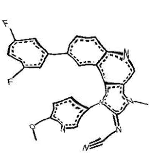 COc1ccc(-n2c(=NC#N)n(C)c3cnc4ccc(-c5cc(F)cc(F)c5)cc4c32)cn1